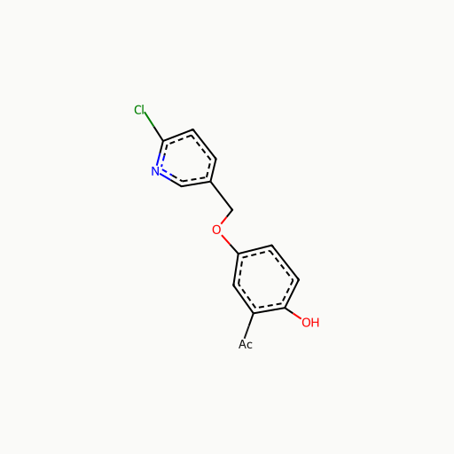 CC(=O)c1cc(OCc2ccc(Cl)nc2)ccc1O